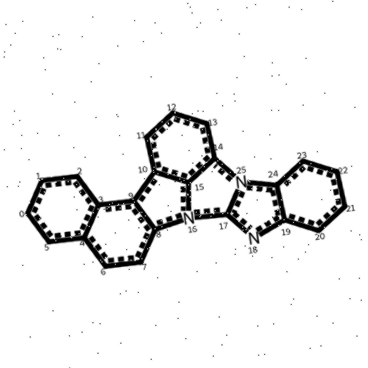 c1ccc2c(c1)ccc1c2c2cccc3c2n1c1nc2ccccc2n31